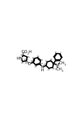 CN(C)C1(c2ccccc2)CCC(Nc2cccc(O[C@@H]3CN[C@H](C(=O)O)C3)c2)CC1